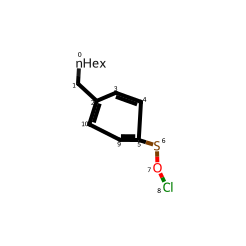 CCCCCCCc1ccc(SOCl)cc1